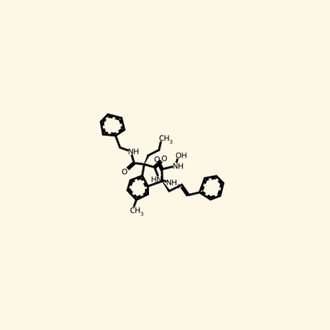 CCC[C@](C(=O)NN)(C(=O)NCc1ccccc1)c1ccc(C)cc1[C@H](C/C=C/c1ccccc1)C(=O)NO